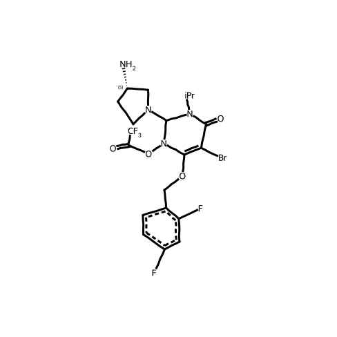 CC(C)N1C(=O)C(Br)=C(OCc2ccc(F)cc2F)N(OC(=O)C(F)(F)F)C1N1CC[C@H](N)C1